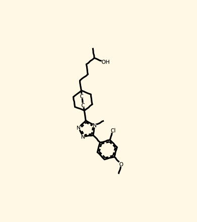 COc1ccc(-c2nnc(C34CCC(CCCC(C)O)(CC3)CC4)n2C)c(Cl)c1